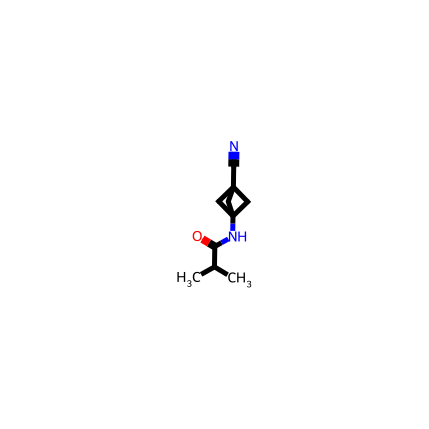 CC(C)C(=O)NC12CC(C#N)(C1)C2